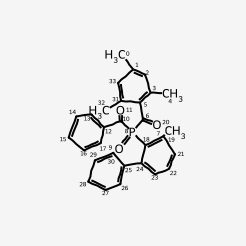 Cc1cc(C)c(C(=O)P(=O)(C(=O)c2ccccc2)c2c(C)cccc2-c2ccccc2)c(C)c1